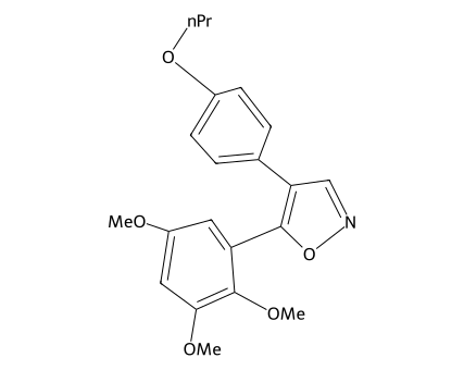 CCCOc1ccc(-c2cnoc2-c2cc(OC)cc(OC)c2OC)cc1